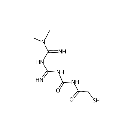 CN(C)C(=N)NC(=N)NC(=O)NC(=O)CS